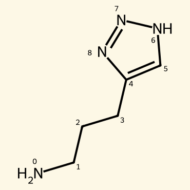 NCCCc1c[nH]nn1